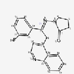 O=C1CCCN1/N=C(\Cc1ccnc2ccccc12)c1cccc(F)c1